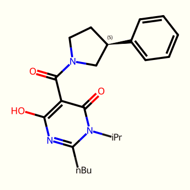 CCCCc1nc(O)c(C(=O)N2CC[C@@H](c3ccccc3)C2)c(=O)n1C(C)C